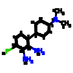 CN(C)c1ccc(-c2ccc(F)c(N)c2N)cc1